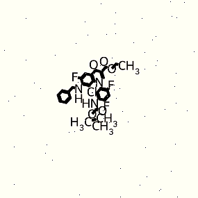 CCOC(=O)c1cn(-c2cc(NC(=O)OC(C)(C)C)c(F)cc2F)c2c(Cl)c(NCc3ccccc3)c(F)cc2c1=O